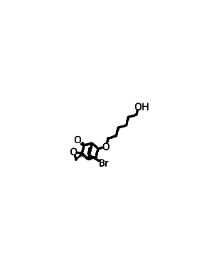 O=C1C2C=C(Br)C(CC2OCCCCCCO)[C@@]12CO2